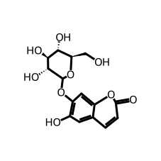 O=c1ccc2cc(O)c(OC3O[C@H](CO)[C@@H](O)[C@H](O)[C@H]3O)cc2o1